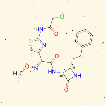 CON=C(C(=O)N[C@H]1C(=O)N[C@H]1CCc1ccccc1)c1csc(NC(=O)CCl)n1